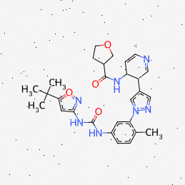 Cc1ccc(NC(=O)Nc2cc(C(C)(C)C)on2)cc1-n1cc(C2C=NC=CC2NC(=O)C2CCOC2)cn1